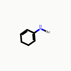 CC(=O)NC1=C[CH]CC=C1